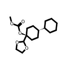 COC(=O)O[C@]1(C2OCCO2)CC[C@@H](C2CCCCC2)CC1